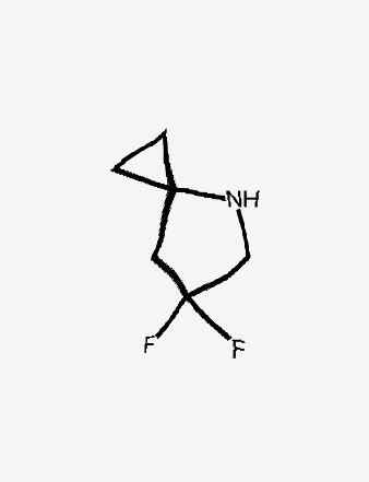 FC1(F)CNC2(CC2)C1